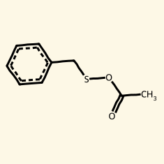 CC(=O)OSCc1ccccc1